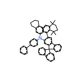 CC1(C)CCC(C)(C)c2c(-c3cc4c(cc3N(c3ccc(-c5ccccc5)cc3)c3ccc5c(c3)CCCC5)C(c3ccccc3)(c3ccccc3)c3ccccc3-4)cccc21